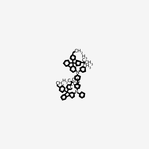 C=Cc1ccc(C2(c3ccc(C(C)(C)C)cc3)c3ccccc3-c3ccc(N(c4ccccc4)c4ccc(-c5ccc(N(c6ccccc6)c6ccc7c(c6)C(c6ccc(C=C)cc6)(c6ccc(C(C)(C)C)cc6)c6ccccc6-7)cc5)cc4)cc32)cc1